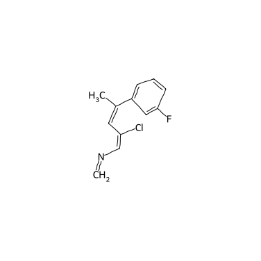 C=N/C=C(Cl)\C=C(\C)c1cccc(F)c1